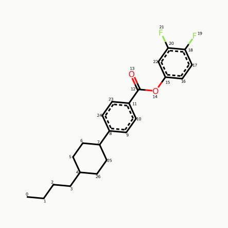 CCCCC1CCC(c2ccc(C(=O)Oc3ccc(F)c(F)c3)cc2)CC1